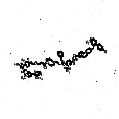 Cc1ncsc1-c1ccc([C@H](C)NC(=O)[C@@H]2C[C@@H](O)CN2C(=O)[C@@H](NC(=O)CCOCCC(=O)N2CCN(CC[C@H](CSc3ccccc3)Nc3ccc(S(=O)(=O)NC(=O)c4ccc5c(c4)CCC4CN(CC6=C(c7ccc(Cl)cc7)CCC(C)(C)C6)CCN54)cc3S(=O)(=O)C(F)(F)F)CC2)C(C)(C)C)cc1